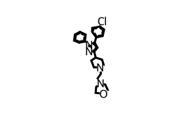 Clc1ccc(-c2cc(C3CCN(CCN4CCOCC4)CC3)nn2-c2ccccc2)cc1